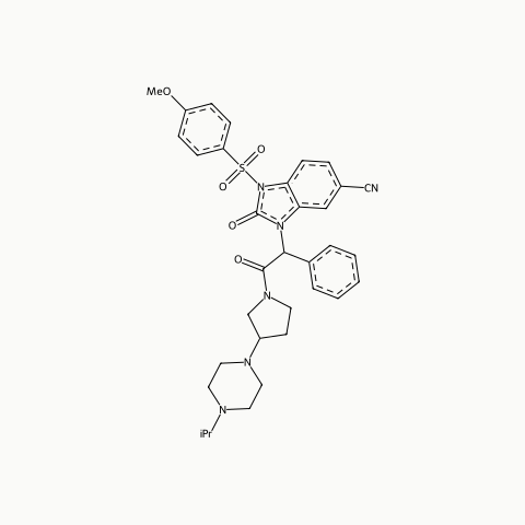 COc1ccc(S(=O)(=O)n2c(=O)n(C(C(=O)N3CCC(N4CCN(C(C)C)CC4)C3)c3ccccc3)c3cc(C#N)ccc32)cc1